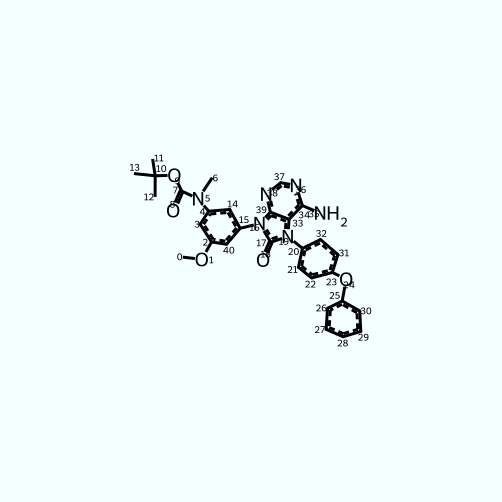 COc1cc(N(C)C(=O)OC(C)(C)C)cc(-n2c(=O)n(-c3ccc(Oc4ccccc4)cc3)c3c(N)ncnc32)c1